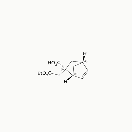 CCOC(=O)C[C@@]1(C(=O)O)C[C@@H]2C=C[C@H]1C2